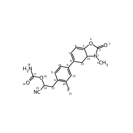 CN1C(=O)OC2=CC=C(c3ccc(CC(C#N)OC(N)=O)c(F)c3)CC21